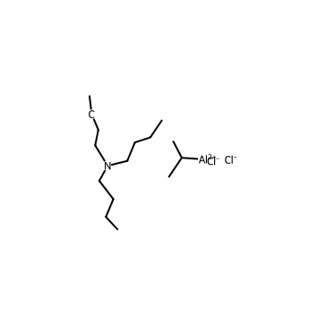 CCCCN(CCCC)CCCC.C[CH](C)[Al+2].[Cl-].[Cl-]